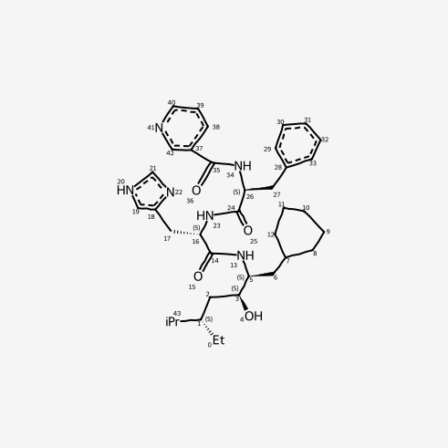 CC[C@@H](C[C@H](O)[C@H](CC1CCCCC1)NC(=O)[C@H](Cc1c[nH]cn1)NC(=O)[C@H](Cc1ccccc1)NC(=O)c1cccnc1)C(C)C